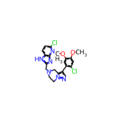 COc1cc(Cl)c(-c2cnn3c2CN(Cc2nc4nc(Cl)ccc4[nH]2)CC3)cc1OC